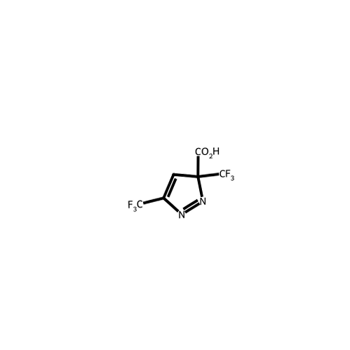 O=C(O)C1(C(F)(F)F)C=C(C(F)(F)F)N=N1